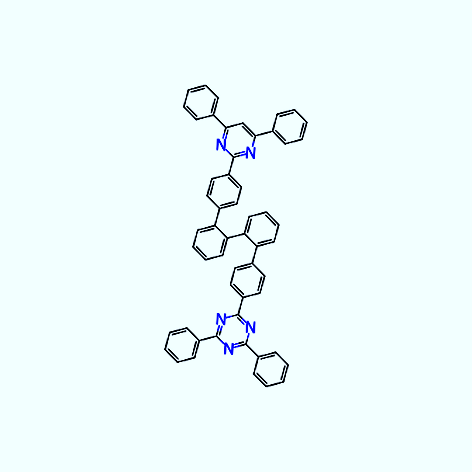 c1ccc(-c2cc(-c3ccccc3)nc(-c3ccc(-c4ccccc4-c4ccccc4-c4ccc(-c5nc(-c6ccccc6)nc(-c6ccccc6)n5)cc4)cc3)n2)cc1